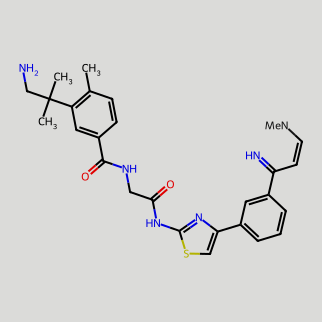 CN/C=C\C(=N)c1cccc(-c2csc(NC(=O)CNC(=O)c3ccc(C)c(C(C)(C)CN)c3)n2)c1